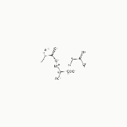 CCC(=O)[O-].CCC(=O)[O-].CCC(C(C)=O)C(=O)[O-].[Al+3]